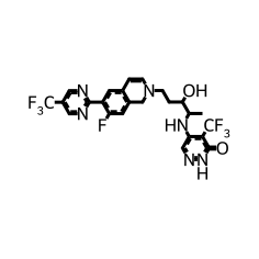 CC(Nc1cn[nH]c(=O)c1C(F)(F)F)C(O)CCN1C=Cc2cc(-c3ncc(C(F)(F)F)cn3)c(F)cc2C1